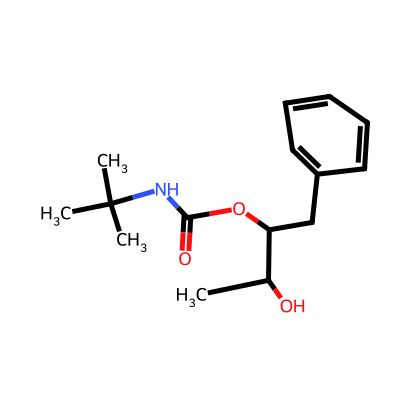 CC(O)C(Cc1ccccc1)OC(=O)NC(C)(C)C